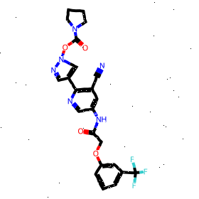 N#Cc1cc(NC(=O)COc2cccc(C(F)(F)F)c2)cnc1-c1cnn(OC(=O)N2CCCC2)c1